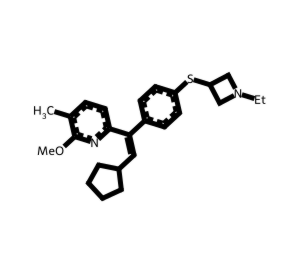 CCN1CC(Sc2ccc(/C(=C/C3CCCC3)c3ccc(C)c(OC)n3)cc2)C1